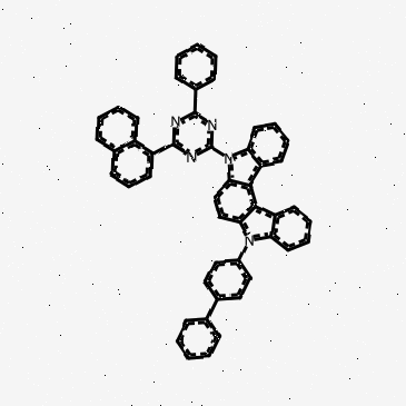 c1ccc(-c2ccc(-n3c4ccccc4c4c5c6ccccc6n(-c6nc(-c7ccccc7)nc(-c7cccc8ccccc78)n6)c5ccc43)cc2)cc1